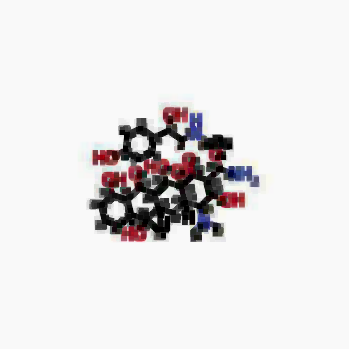 CCCCNCC(O)c1ccc(O)cc1.CN(C)[C@@H]1C(O)=C(C(N)=O)C(=O)[C@@]2(O)C(O)=C3C(=O)c4c(O)cccc4[C@@](C)(O)[C@H]3C[C@@H]12